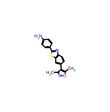 Cc1noc(C)c1-c1ccc2nc(-c3ccc(N)cc3)sc2c1